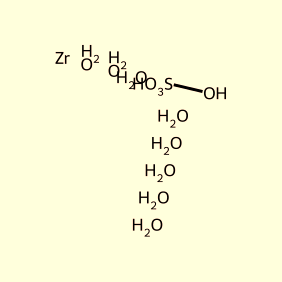 O.O.O.O.O.O.O.O.O=S(=O)(O)O.[Zr]